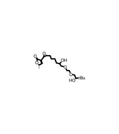 CCCCC(O)COCCOCC(O)CCCCC1OC1C1=C[C@H](C)OC1=O